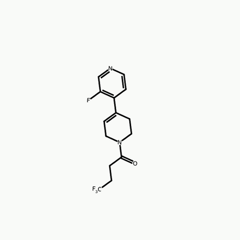 O=C(CCC(F)(F)F)N1CC=C(c2ccncc2F)CC1